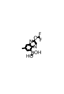 Cc1cc(B(O)O)c2ncc(OC(F)F)nc2c1